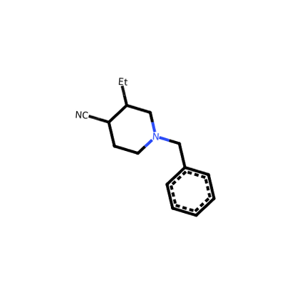 CCC1CN(Cc2ccccc2)CCC1C#N